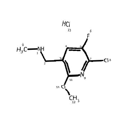 CNCc1cc(F)c(Cl)nc1OC.Cl